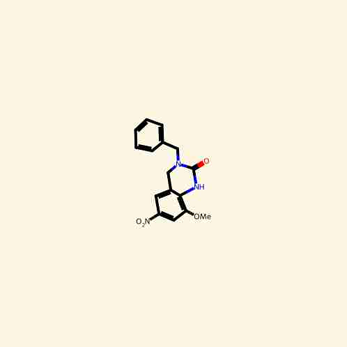 COc1cc([N+](=O)[O-])cc2c1NC(=O)N(Cc1ccccc1)C2